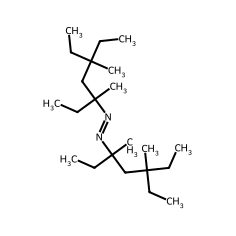 CCC(C)(CC)CC(C)(CC)N=NC(C)(CC)CC(C)(CC)CC